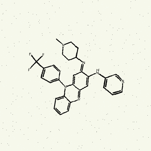 CN1CCC(/N=c2\cc3n(-c4ccc(C(F)(F)F)cc4)c4ccccc4nc-3cc2Nc2cccnc2)CC1